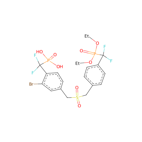 CCOP(=O)(OCC)C(F)(F)c1ccc(CS(=O)(=O)Cc2ccc(C(F)(F)P(=O)(O)O)c(Br)c2)cc1